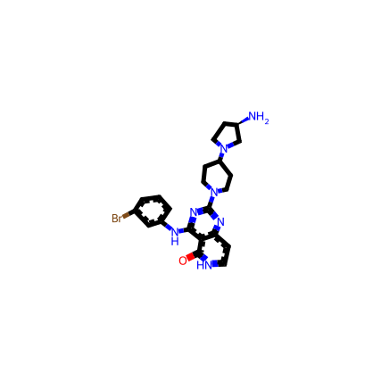 N[C@@H]1CCN(C2CCN(c3nc(Nc4cccc(Br)c4)c4c(=O)[nH]ccc4n3)CC2)C1